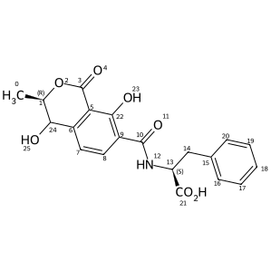 C[C@H]1OC(=O)c2c(ccc(C(=O)N[C@@H](Cc3ccccc3)C(=O)O)c2O)C1O